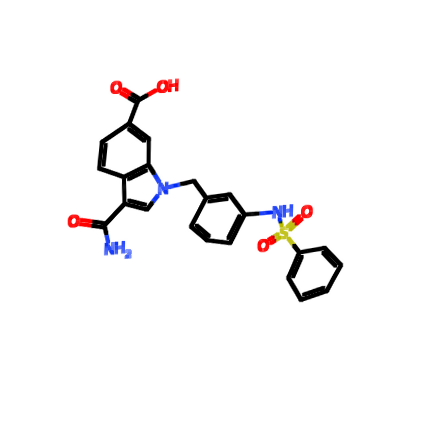 NC(=O)c1cn(Cc2cccc(NS(=O)(=O)c3ccccc3)c2)c2cc(C(=O)O)ccc12